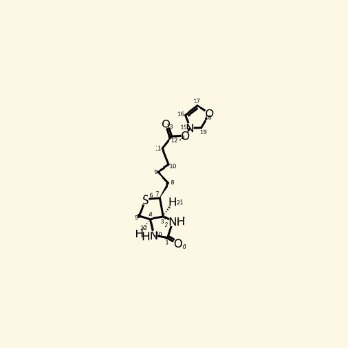 O=C1N[C@H]2[C@H](CS[C@H]2CCCCC(=O)ON2C=COC2)N1